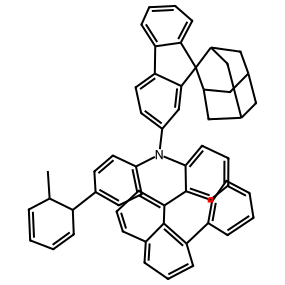 CC1C=CC=CC1c1ccc(N(c2ccc3c(c2)C2(c4ccccc4-3)C3CC4CC(C3)CC2C4)c2ccccc2-c2cccc3cccc(-c4ccccc4)c23)cc1